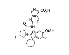 COc1ccc(C2(C(=O)N3C[C@H](F)C[C@@H]3C(=O)Nc3ccc4c(cnn4C(=O)O)n3)CCCCC2)cc1F